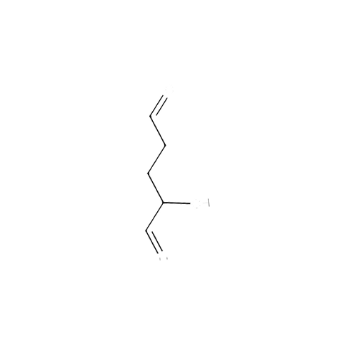 O=CCCC(O)C=O